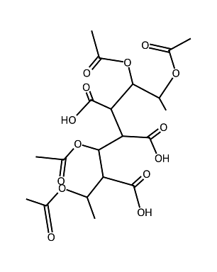 CC(=O)OC(C)C(OC(C)=O)C(C(=O)O)C(C(=O)O)C(OC(C)=O)C(C(=O)O)C(C)OC(C)=O